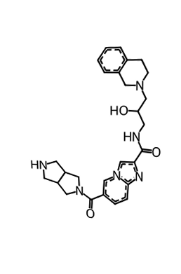 O=C(NCC(O)CN1CCc2ccccc2C1)c1cn2cc(C(=O)N3CC4CNCC4C3)ccc2n1